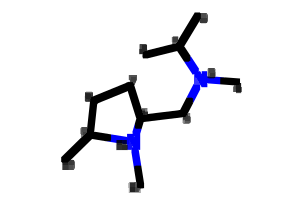 CC(C)N(C)CC1CCC(C)N1C